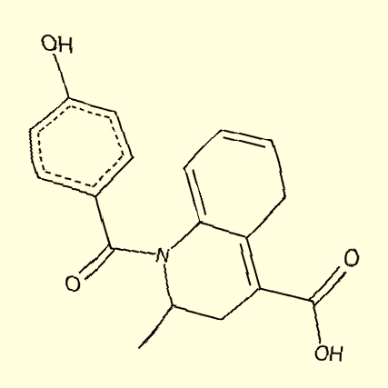 CC1CC(C(=O)O)=C2CC=CC=C2N1C(=O)c1ccc(O)cc1